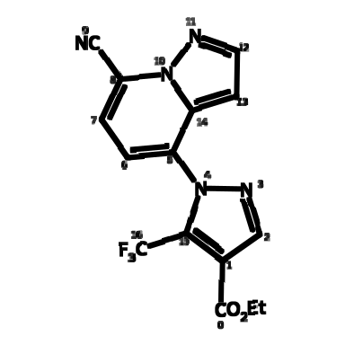 CCOC(=O)c1cnn(-c2ccc(C#N)n3nccc23)c1C(F)(F)F